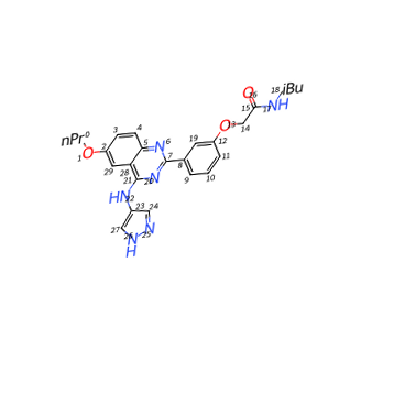 CCCOc1ccc2nc(-c3cccc(OCC(=O)NC(C)CC)c3)nc(Nc3cn[nH]c3)c2c1